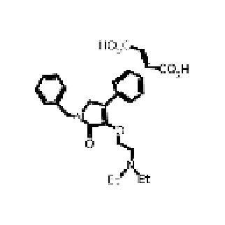 CCN(CC)CCOC1=C(c2ccccc2)CN(Cc2ccccc2)C1=O.O=C(O)C=CC(=O)O